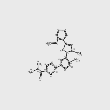 C=Cc1ccccc1C1=NN(C)C(c2nc(-c3ccc(C(=O)N(C)C)cc3)cnc2N)O1